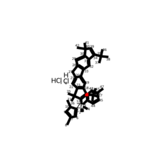 Cl.Cl.[CH2]=[Zr]([CH3])([C]1=CC(C)=CC1C)([C]1=C(C(C)(C)C)c2cc3c(cc2C1(C)C)Cc1cc2c(cc1-3)C(C(C)(C)C)=CC2(C)C)[c]1ccc(C)cc1